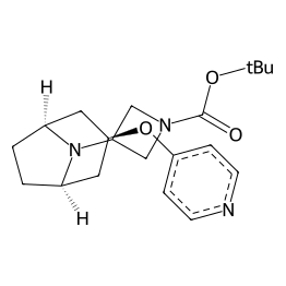 CC(C)(C)OC(=O)N1CC(N2[C@@H]3CC[C@H]2C[C@@H](Oc2ccncc2)C3)C1